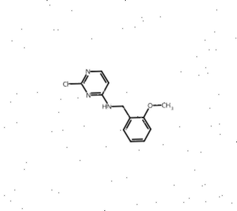 COc1ccccc1CNc1ccnc(Cl)n1